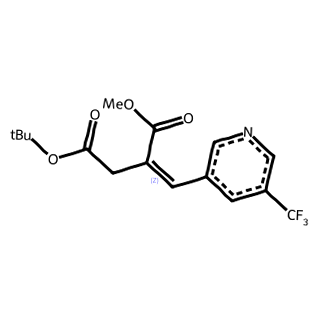 COC(=O)/C(=C\c1cncc(C(F)(F)F)c1)CC(=O)OC(C)(C)C